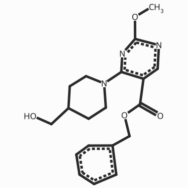 COc1ncc(C(=O)OCc2ccccc2)c(N2CCC(CO)CC2)n1